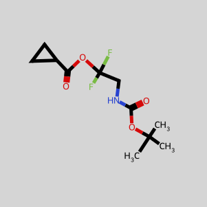 CC(C)(C)OC(=O)NCC(F)(F)OC(=O)C1CC1